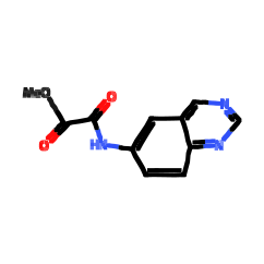 COC(=O)C(=O)Nc1ccc2ncncc2c1